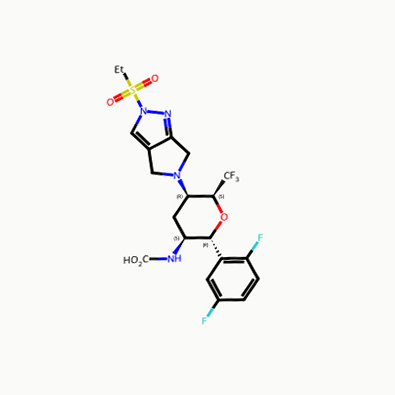 CCS(=O)(=O)n1cc2c(n1)CN([C@@H]1C[C@H](NC(=O)O)[C@@H](c3cc(F)ccc3F)O[C@@H]1C(F)(F)F)C2